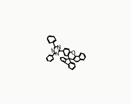 c1ccc(-c2nc(-c3ccccc3)nc(-c3ccc4c(c3)C3(c5ccccc5-c5ccccc53)c3ccc5ccccc5c3O4)n2)cc1